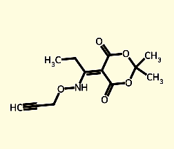 C#CCONC(CC)=C1C(=O)OC(C)(C)OC1=O